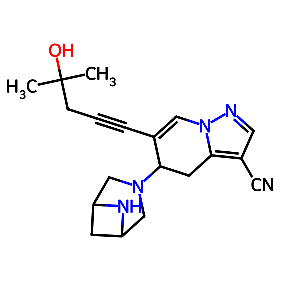 CC(C)(O)CC#CC1=Cn2ncc(C#N)c2CC1N1CC2CC(C1)N2